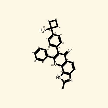 Cc1nc2ccc3c(=O)c(-c4ccc(C5(N)CCC5)cc4)c(-c4ccccc4)oc3c2[nH]1